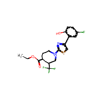 CCOC(=O)C1CCN(c2nc(-c3cc(F)ccc3O)cs2)CC1C(F)(F)F